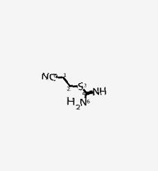 N#CCCSC(=N)N